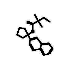 CCC(C)(C)C(=O)OC1(c2ccc3ccccc3c2)CCCC1